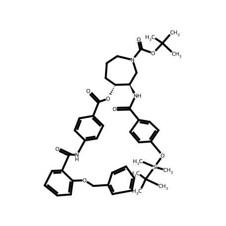 CC(C)(C)OC(=O)N1CCC[C@@H](OC(=O)c2ccc(NC(=O)c3ccccc3OCc3ccccc3)cc2)[C@H](NC(=O)c2ccc(O[Si](C)(C)C(C)(C)C)cc2)C1